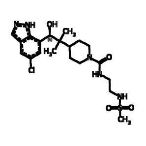 CC(C)(C1CCN(C(=O)NCCNS(C)(=O)=O)CC1)[C@H](O)c1cc(Cl)cc2cn[nH]c12